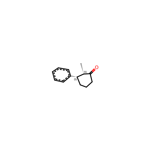 C[C@@H]1C(=O)CCC[C@@H]1c1ccccc1